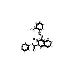 O=C(Oc1ccccc1)c1cc2ccccc2c(N=Nc2ccccc2Cl)c1O